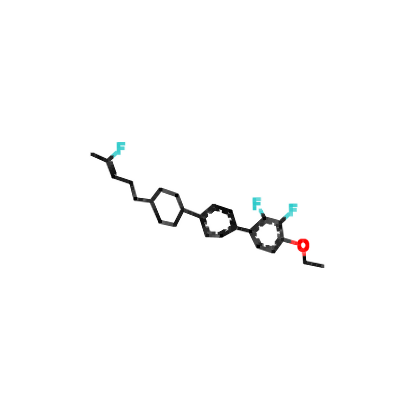 CCOc1ccc(-c2ccc(C3CCC(CCC=C(C)F)CC3)cc2)c(F)c1F